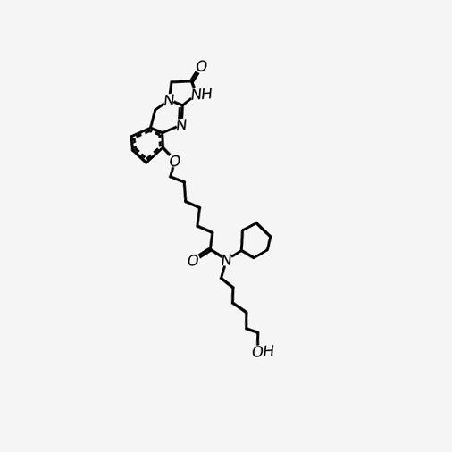 O=C1CN2Cc3cccc(OCCCCCCC(=O)N(CCCCCCO)C4CCCCC4)c3N=C2N1